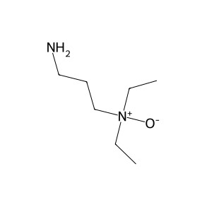 CC[N+]([O-])(CC)CCCN